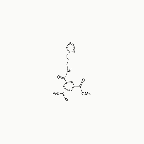 COC(=O)c1cc(C(=O)NCCCn2cccn2)cc(C(=O)OC)c1